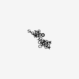 CCOC(=O)C(Cc1ccccc1)(OC[C@H]1O[C@@H](n2cnc3c(N(C(=O)OC(C)(C)C)C(=O)OC(C)(C)C)nc(Cl)nc32)[C@H](O)[C@H]1C)c1nnn(COCC[Si](C)(C)C)n1